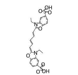 CCN1C(=CC=CC=Cc2oc3ccc(S(=O)(=O)O)cc3[n+]2CC)Oc2ccc(S(=O)(=O)O)cc21